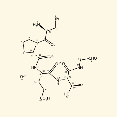 CC(C)C[C@H](N)C(=O)N1CCC[C@H]1C(=O)N[C@@H](CCC(=O)O)C(=O)N[C@H](C(=O)NCC=O)[C@@H](C)O.[O-2]